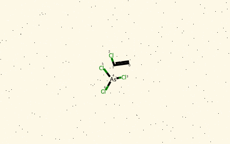 C=CCl.Cl[As](Cl)Cl